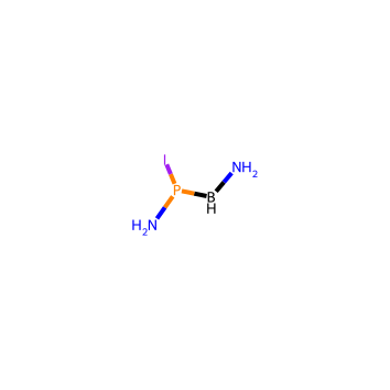 NBP(N)I